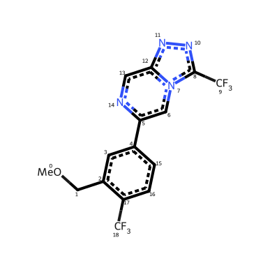 COCc1cc(-c2cn3c(C(F)(F)F)nnc3cn2)ccc1C(F)(F)F